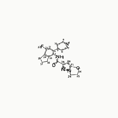 O=C(Nc1c(-c2ccncc2)cc(F)c2c1CCC2)c1cc2n(n1)CCCO2